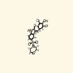 O=C1Nc2ccc(S(=O)(=O)N3CCOCC3)cc2/C1=C/c1cc(Cl)c(O)c(Cl)c1